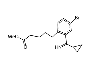 COC(=O)CCCCc1ccc(Br)cc1C(=N)C1CC1